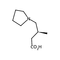 C[C@@H](CC(=O)O)CN1CCCC1